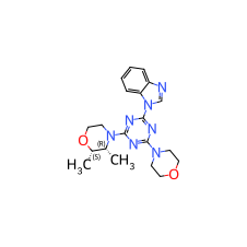 C[C@@H]1OCCN(c2nc(N3CCOCC3)nc(-n3cnc4ccccc43)n2)[C@@H]1C